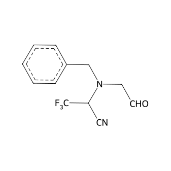 N#CC(N(CC=O)Cc1ccccc1)C(F)(F)F